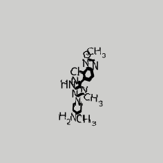 COc1cnc2ccc(-c3n[nH]c4nc(N5CCC(C)(N)CC5)c(C)nc34)c(Cl)c2n1